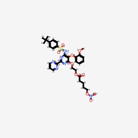 COc1ccccc1Oc1c(NS(=O)(=O)c2ccc(C(C)(C)C)cc2)nc(-c2ncccn2)nc1OCCOC(=O)CCCCO[N+](=O)[O-]